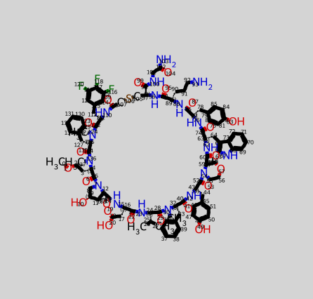 COCC[C@H]1C(=O)N2C[C@@H](O)C[C@@H]2C(=O)N[C@@H](CC(=O)O)C(=O)N[C@@H](C(C)C)C(=O)N(C)[C@@H](Cc2ccccc2)C(=O)N[C@@H](Cc2ccc(O)cc2)C(=O)N2CCOC[C@@H]2C(=O)N[C@@H](Cc2c[nH]c3ccccc23)C(=O)N[C@@H](Cc2ccc(O)cc2)C(=O)N[C@@H](CCCN)C(=O)N[C@H](C(=O)NCC(N)=O)CSCC(=O)N[C@@H](Cc2cc(F)c(F)c(F)c2)C(=O)N(C)[C@@H](Cc2ccccc2)C(=O)N1C